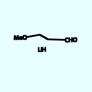 COCCC=O.[LiH]